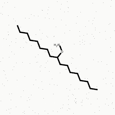 CCCCCCCCC(CCCCCCCC)[O][AlH2]